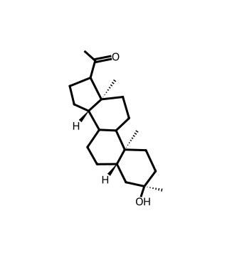 CC(=O)C1CC[C@H]2C3CC[C@H]4C[C@](C)(O)CC[C@]4(C)C3CC[C@]12C